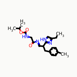 CCc1c[nH]c(C(/C=N/C(=O)CNC(=O)OC(C)C)Cc2ccc(C)cc2)n1